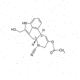 CC(=O)OC1=C[C@@H]2c3cccc4[nH]c(CO)c(c34)C[C@H]2N(C#N)C1